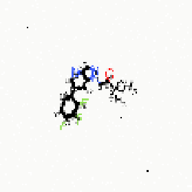 CC(C)C(=O)Cn1ncc2ncc(-c3ccc(F)c(F)c3F)cc21